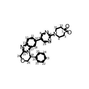 O=S1(=O)CCN(c2ncc(-c3ccc4nc5n(c4c3)[C@@H](c3ccccc3)COC5)cn2)CC1